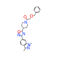 Cc1nn(C)c2cc(-c3noc(C4CCN(C(=O)COCc5ccccc5)CC4)n3)ccc12